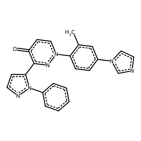 Cc1cc(-n2ccnc2)ccc1-n1ccc(=O)c(-c2ccnn2-c2ccccc2)n1